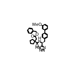 COc1cccc(-c2ccc(C[C@H](NC(=O)C3(CC(=O)OCc4ccccc4)CCCC3)c3nnn[nH]3)cc2)c1